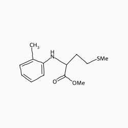 COC(=O)C(CCSC)Nc1ccccc1C